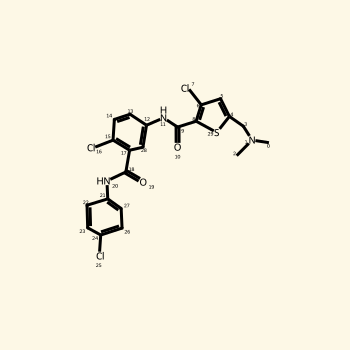 CN(C)Cc1cc(Cl)c(C(=O)Nc2ccc(Cl)c(C(=O)Nc3ccc(Cl)cc3)c2)s1